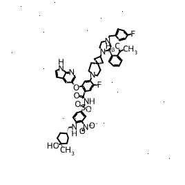 CC(C)c1ccccc1[C@@H]1CN(Cc2ccc(F)cc2)CCN1C1CC2(CCN(c3cc(Oc4cnc5[nH]ccc5c4)c(C(=O)NS(=O)(=O)c4ccc(NC[C@H]5CC[C@](C)(O)CC5)c([N+](=O)[O-])c4)cc3F)CC2)C1